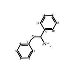 NC(Sc1ccccc1)c1ccccc1